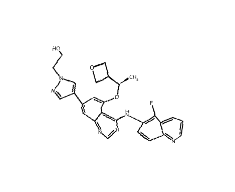 C[C@@H](Oc1cc(-c2cnn(CCO)c2)cc2ncnc(Nc3ccc4ncccc4c3F)c12)C1COC1